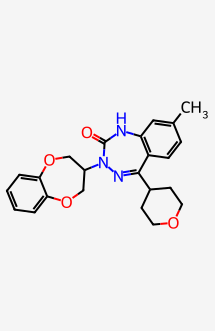 Cc1ccc2c(c1)NC(=O)N(C1COc3ccccc3OC1)N=C2C1CCOCC1